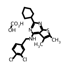 Cc1sc2nc(C3CCCCC3)nc(NCc3ccc(Cl)c(Cl)c3)c2c1C.O=C(O)O